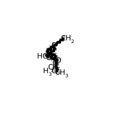 C=CCCCCOc1ccc2c(-c3ccc(C(=O)OC[C@@H](Cl)CC(C)C)cc3)c(C(=O)O)ccc2c1